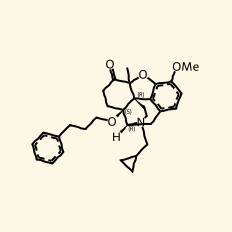 COc1ccc2c3c1OC1(C)C(=O)CC[C@@]4(OCCCc5ccccc5)[C@@H](C2)N(CC2CC2)CC[C@]314